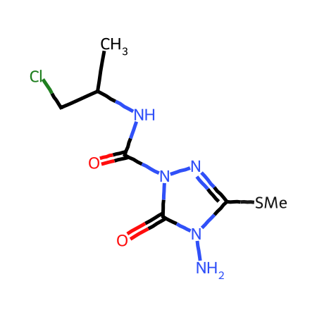 CSc1nn(C(=O)NC(C)CCl)c(=O)n1N